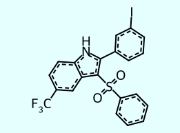 O=S(=O)(c1ccccc1)c1c(-c2cccc(I)c2)[nH]c2ccc(C(F)(F)F)cc12